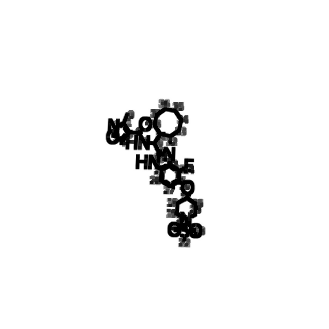 Cc1nocc1C(=O)NC(c1nc2c(F)c(OC3CCN(S(C)(=O)=O)CC3)ccc2[nH]1)C1CCCCCCC1